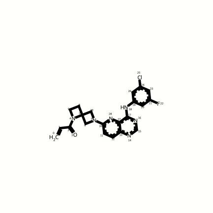 C=CC(=O)N1CCC12CN(c1ccc3ncnc(Nc4cc(F)cc(Cl)c4)c3n1)C2